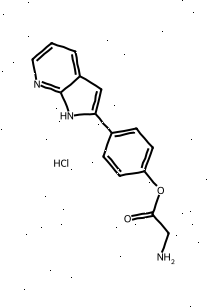 Cl.NCC(=O)Oc1ccc(-c2cc3cccnc3[nH]2)cc1